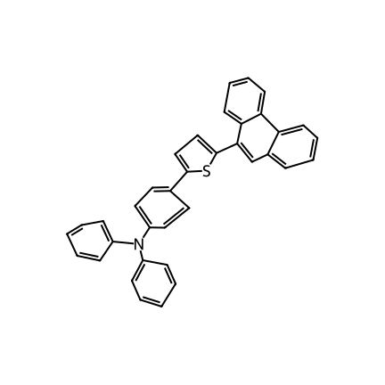 c1ccc(N(c2ccccc2)c2ccc(-c3ccc(-c4cc5ccccc5c5ccccc45)s3)cc2)cc1